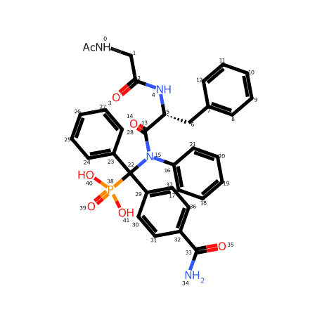 CC(=O)NCC(=O)N[C@H](Cc1ccccc1)C(=O)N(c1ccccc1)C(c1ccccc1)(c1ccc(C(N)=O)cc1)P(=O)(O)O